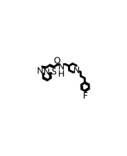 O=C(NCC1CCN(CCCc2ccc(F)cc2)CC1)C1=Cc2cnc3cccc(n23)S1